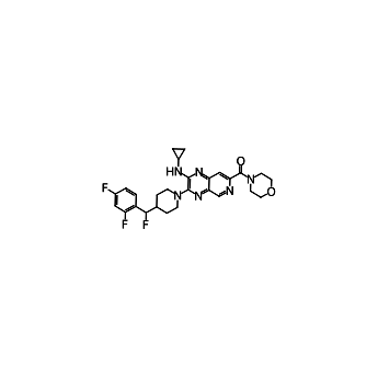 O=C(c1cc2nc(NC3CC3)c(N3CCC(C(F)c4ccc(F)cc4F)CC3)nc2cn1)N1CCOCC1